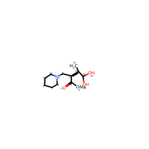 COC(=O)/C(CN1CCCCC1)=C(/C)C(O)O